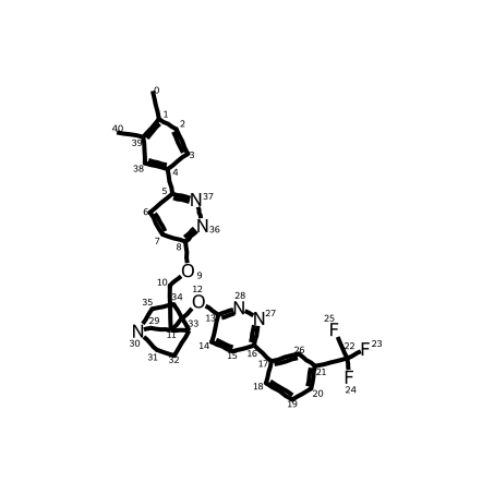 Cc1ccc(-c2ccc(OCC3(Oc4ccc(-c5cccc(C(F)(F)F)c5)nn4)CN4CCC3CC4)nn2)cc1C